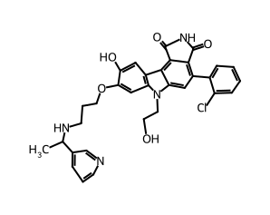 CC(NCCCOc1cc2c(cc1O)c1c3c(c(-c4ccccc4Cl)cc1n2CCO)C(=O)NC3=O)c1cccnc1